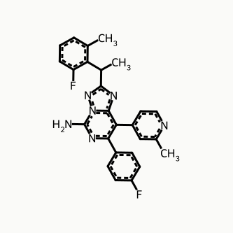 Cc1cc(-c2c(-c3ccc(F)cc3)nc(N)n3nc(C(C)c4c(C)cccc4F)nc23)ccn1